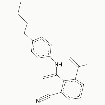 C=C(C)c1cccc(C#N)c1C(=C)Nc1ccc(CCCC)cc1